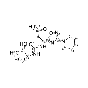 CC(O)C(NC(=O)N[C@@H](CC(N)=O)c1nc(N2CCCCC2)no1)C(=O)O